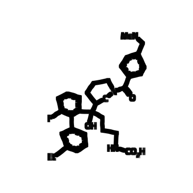 CCc1cccc(-c2c(F)cccc2C(O)(CCCNC(=O)O)C2CCCN(C(=O)c3ccc(CNC)cc3)C2)c1